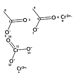 CC(=O)[O-].CC(=O)[O-].[Cr+3].[Cr+3].[O]=[Cr]([O-])[O-]